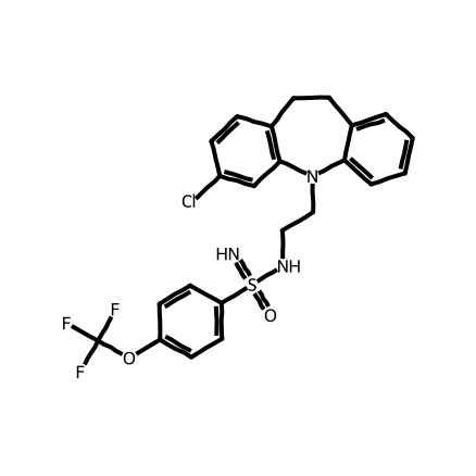 N=S(=O)(NCCN1c2ccccc2CCc2ccc(Cl)cc21)c1ccc(OC(F)(F)F)cc1